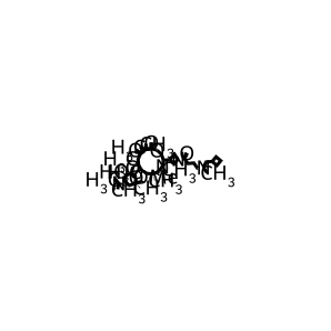 CO[C@]1(C)C[C@@H](C)CN(C)C(C2CN(C(=O)CCCN(C)CC3CCC3)C2)COC(=O)C(C)(C)C(=O)[C@H](C)[C@H]1OC1O[C@H](C)C[C@H](N(C)C)[C@H]1O